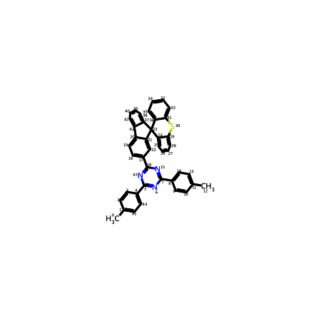 Cc1ccc(-c2nc(-c3ccc(C)cc3)nc(-c3ccc4c(c3)C3(c5ccccc5Sc5ccccc53)c3ccccc3-4)n2)cc1